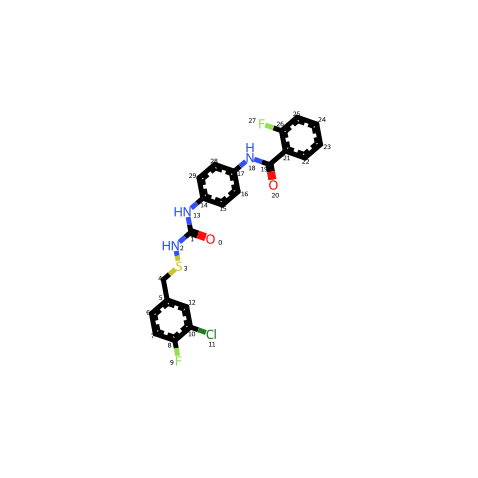 O=C(NSCc1ccc(F)c(Cl)c1)Nc1ccc(NC(=O)c2ccccc2F)cc1